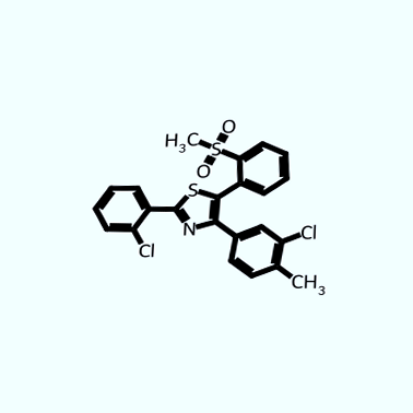 Cc1ccc(-c2nc(-c3ccccc3Cl)sc2-c2ccccc2S(C)(=O)=O)cc1Cl